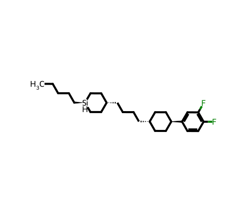 CCCCC[Si@H]1CC[C@H](CCCC[C@H]2CC[C@H](c3ccc(F)c(F)c3)CC2)CC1